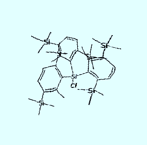 Cc1c([Si](C)(C)C)ccc([Si](C)(C)C)c1[Si](Cl)(c1c([Si](C)(C)C)ccc([Si](C)(C)C)c1C)c1c([Si](C)(C)C)ccc([Si](C)(C)C)c1C